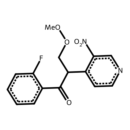 COOCC(C(=O)c1ccccc1F)c1ccncc1[N+](=O)[O-]